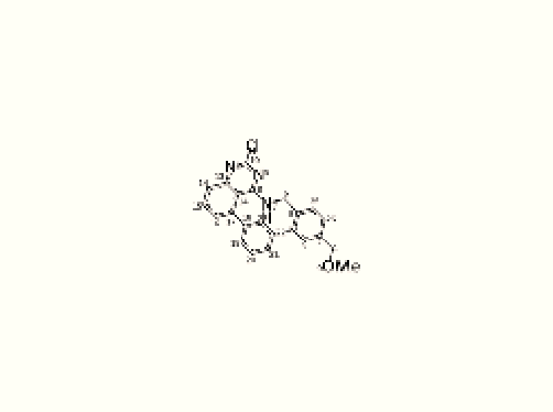 COCc1ccc(CNc2nc(Cl)nc3cccc(-c4ccccc4)c23)cc1